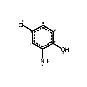 [NH]c1cc(Cl)ccc1O